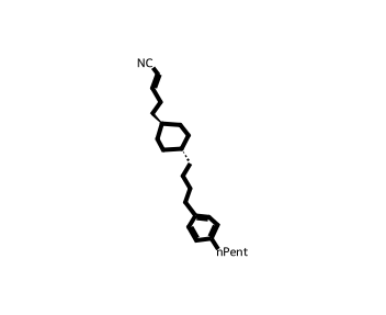 CCCCCc1ccc(CCCC[C@H]2CC[C@H](CCC=CC#N)CC2)cc1